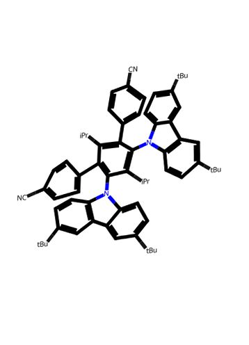 CC(C)c1c(-c2ccc(C#N)cc2)c(-n2c3ccc(C(C)(C)C)cc3c3cc(C(C)(C)C)ccc32)c(C(C)C)c(-n2c3ccc(C(C)(C)C)cc3c3cc(C(C)(C)C)ccc32)c1-c1ccc(C#N)cc1